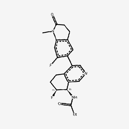 CCC(=O)N[C@@H]1c2cncc(-c3cc4c(cc3F)N(C)C(=O)CC4)c2CC[C@@H]1F